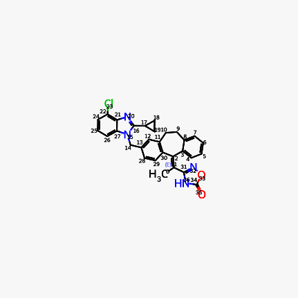 C/C(=C1/c2ccccc2CCc2cc(Cn3c(C4CC4)nc4c(Cl)cccc43)ccc21)c1noc(=O)[nH]1